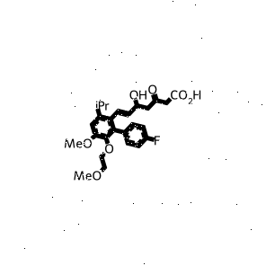 COCCOc1c(OC)cc(C(C)C)c(C=CC(O)CC(=O)CC(=O)O)c1-c1ccc(F)cc1